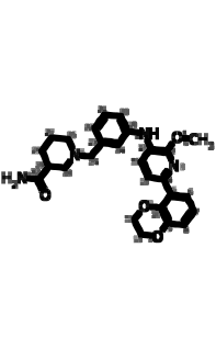 COc1nc(-c2cccc3c2OCCO3)ccc1Nc1cccc(CN2CCCC(C(N)=O)C2)c1